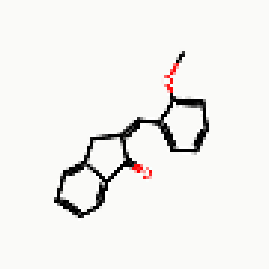 COc1ccccc1C=C1Cc2ccccc2C1=O